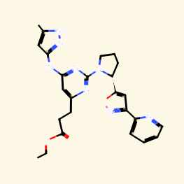 CCOC(=O)CCc1cc(Nc2cc(C)[nH]n2)nc(N2CCC[C@H]2c2cc(-c3ccccn3)no2)n1